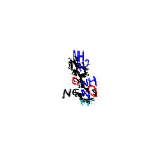 N#C[C@@H]1CC(F)(F)CN1C(=O)CNC(=O)c1ccnc2c(N)cccc12